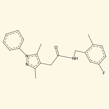 Cc1ccc(F)cc1CNC(=O)Cc1c(C)nn(-c2ccccc2)c1C